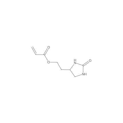 C=CC(=O)OCCC1CNC(=O)N1